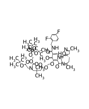 CC1=NO[C@@]2(CC[C@H](C)N3C[C@H]2n2cc(C(=O)NCc4ccc(F)cc4F)c(=O)c(OCOC(=O)CC(C)(C)CN(CC(=O)OC(C)(C)C)C(=O)OCOP(=O)(OC(C)(C)C)OC(C)(C)C)c2C3=O)C1